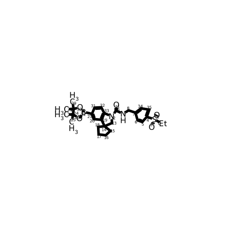 CCS(=O)(=O)c1ccc(CNC(=O)N2CC3(CCCC3)c3cc(B4OC(C)(C)C(C)(C)O4)ccc32)cc1